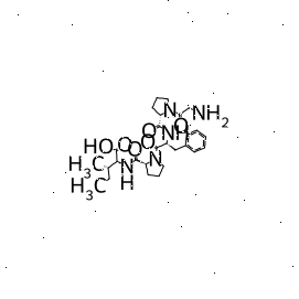 CC[C@H](C)[C@H](NC(=O)[C@@H]1CCCN1C(=O)[C@H](Cc1ccccc1)NC(=O)[C@@H]1CCCN1C(=O)CN)C(=O)O